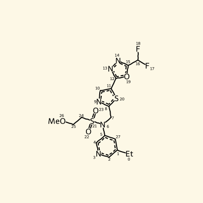 CCc1cncc(N(Cc2ncc(-c3nnc(C(F)F)o3)s2)S(=O)(=O)CCOC)c1